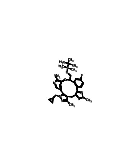 Cc1nn(CC2CC2)c2c1Cc1nn(C)nc1-c1ccc(F)cc1C(CO[Si](C)(C)C(C)(C)C)Oc1cc-2cnc1N